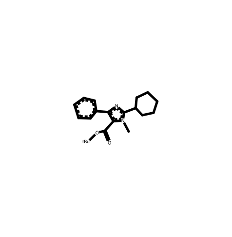 Cn1c(C2CCCCC2)nc(-c2ccccc2)c1C(=O)OC(C)(C)C